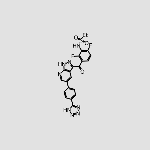 CCS(=O)(=O)Nc1c(F)ccc(C(=O)c2n[nH]c3ncc(-c4ccc(-c5nnn[nH]5)cc4)cc23)c1F